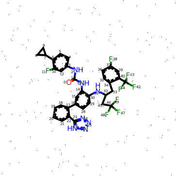 O=C(Nc1ccc(C2CC2)c(F)c1)Nc1cc(-c2ccccc2-c2nnn[nH]2)ccc1NC(Cc1ccc(F)cc1C(F)(F)F)CC(F)(F)F